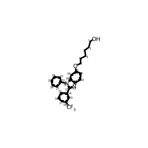 OCCCCCCOc1ccc2nc(-c3cccc(C(F)(F)F)c3)n(-c3ccccc3)c2c1